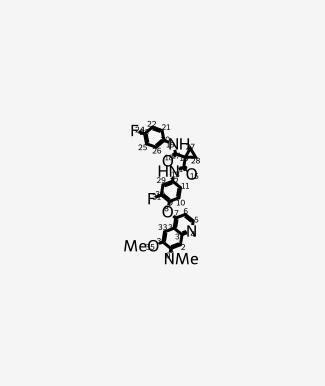 CNc1cc2nccc(Oc3ccc(NC(=O)C4(C(=O)Nc5ccc(F)cc5)CC4)cc3F)c2cc1OC